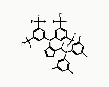 Cc1cc(C)cc(P(c2cc(C)cc(C)c2)[C@H](C)C2=C(P(c3cc(C(F)(F)F)cc(C(F)(F)F)c3)c3cc(C(F)(F)F)cc(C(F)(F)F)c3)C=CC2)c1